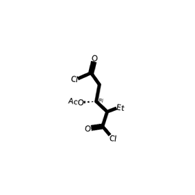 CCC(C(=O)Cl)[C@@H](CC(=O)Cl)OC(C)=O